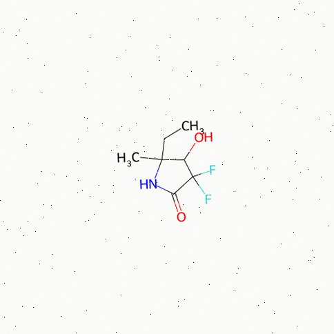 CCC1(C)NC(=O)C(F)(F)C1O